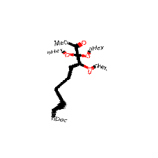 CCCCCCCCCCCCCCCC(OCCCCCC)C(OCCCCCC)(OCCCCCC)C(=O)OC